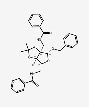 CC1(C)O[C@@H]2[C@@H](CNC(=O)c3ccccc3)O[C@@H](OCc3ccccc3)[C@]2(CNC(=O)c2ccccc2)O1